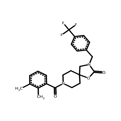 Cc1cccc(C(=O)N2CCC3(CC2)CN(Cc2ccc(C(F)(F)F)cc2)C(=O)O3)c1C